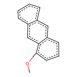 COc1[c]ccc2cc3ccccc3cc12